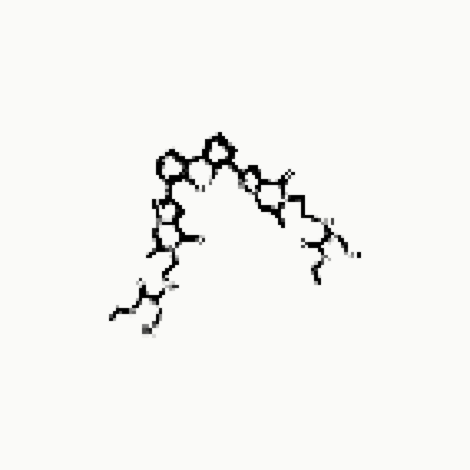 CCOC(=O)[C@H](CO)NCCn1c(C)cn2nc(-c3cccc(-c4cccc(-c5cc6c(=O)n(CCN[C@@H](CO)C(=O)OCC)c(C)cn6n5)c4Cl)c3Cl)cc2c1=O